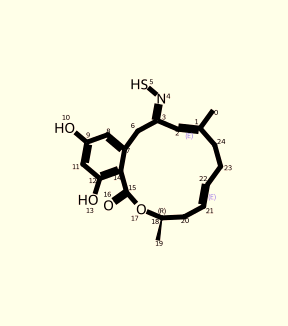 C/C1=C\C(=NS)Cc2cc(O)cc(O)c2C(=O)O[C@H](C)C/C=C/CC1